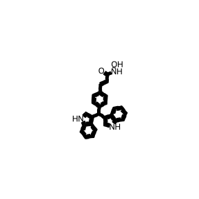 O=C(C=Cc1ccc(C(c2c[nH]c3ccccc23)c2c[nH]c3ccccc23)cc1)NO